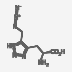 [N-]=[N+]=NCc1[nH]nnc1C[C@H](N)C(=O)O